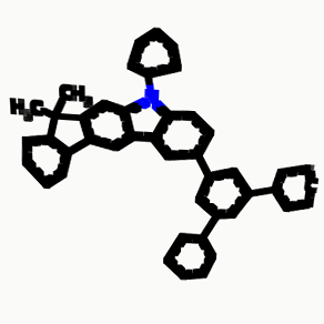 CC1(C)c2ccccc2-c2cc3c4cc(-c5cc(-c6ccccc6)cc(-c6ccccc6)c5)ccc4n(-c4ccccc4)c3cc21